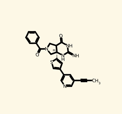 CC#Cc1cncc(-c2csc([C@]34CN(C(=O)c5ccccc5)CC3C(=O)NC(=N)N4)c2)c1